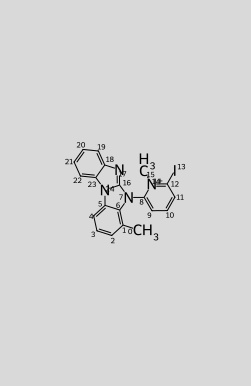 Cc1cccc2c1n(-c1cccc(I)[n+]1C)c1nc3ccccc3n21